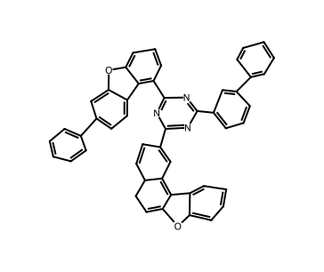 C1=CC2CC=c3oc4ccccc4c3=C2C=C1c1nc(-c2cccc(-c3ccccc3)c2)nc(-c2cccc3oc4cc(-c5ccccc5)ccc4c23)n1